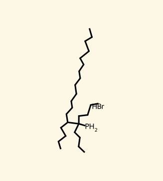 Br.CCCCCCCCCCCCCC(CCCC)C(P)(CCCC)CCCC